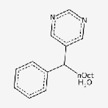 CCCCCCCCC(c1ccccc1)c1cncnc1.O